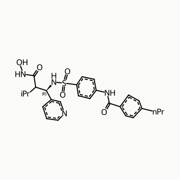 CCCc1ccc(C(=O)Nc2ccc(S(=O)(=O)N[C@@H](c3cccnc3)C(C(=O)NO)C(C)C)cc2)cc1